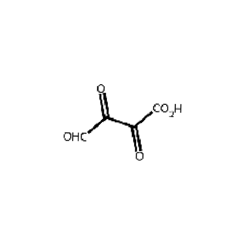 O=CC(=O)C(=O)C(=O)O